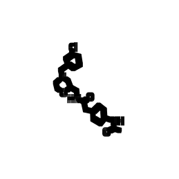 CC(=O)Nc1ccc(CC(=O)NCC2CN(Cc3cccc(Cl)c3)CCO2)cc1